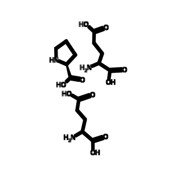 NC(CCC(=O)O)C(=O)O.NC(CCC(=O)O)C(=O)O.O=C(O)[C@@H]1CCCN1